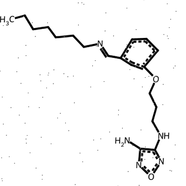 CCCCCCCN=Cc1cccc(OCCCNc2nonc2N)c1